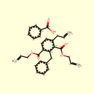 C=CCOC(=O)c1ccc(CC=C)c(C(=O)OCC=C)c1Cc1ccccc1.O=C(O)c1ccccc1